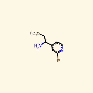 NC(CC(=O)O)c1ccnc(Br)c1